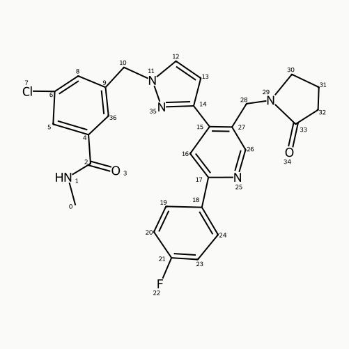 CNC(=O)c1cc(Cl)cc(Cn2ccc(-c3cc(-c4ccc(F)cc4)ncc3CN3CCCC3=O)n2)c1